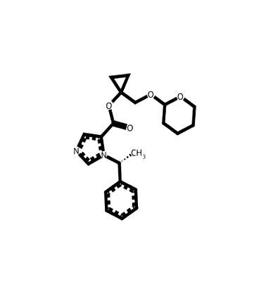 C[C@H](c1ccccc1)n1cncc1C(=O)OC1(COC2CCCCO2)CC1